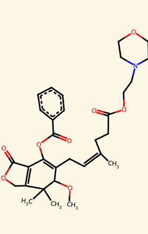 COC1C(CC=C(C)CCC(=O)OCCN2CCOCC2)=C(OC(=O)c2ccccc2)C2=C(COC2=O)C1(C)C